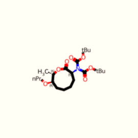 CCCO[C@@H]1CCCC[C@H](N(C(=O)OC(C)(C)C)C(=O)OC(C)(C)C)C(=O)O[C@H]1C